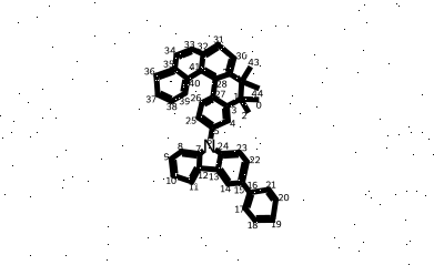 CC1(C)c2cc(-n3c4ccccc4c4cc(-c5ccccc5)ccc43)ccc2-c2c(ccc3ccc4ccccc4c23)C1(C)C